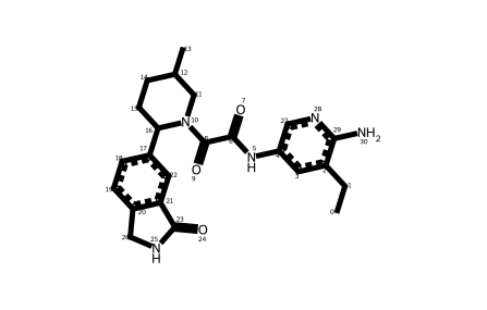 CCc1cc(NC(=O)C(=O)N2CC(C)CCC2c2ccc3c(c2)C(=O)NC3)cnc1N